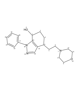 OC1CCC(CCN2CCOCC2)c2cnn(-c3ccccc3)c21